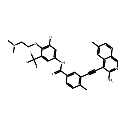 Cc1ccc(C(=O)Nc2cc(Cl)c(OCCN(C)C)c(C(F)(F)F)c2)cc1C#Cc1c(N)ncc2ccc(Cl)cc12